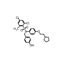 Cc1cc(Cl)cc(Cl)c1S(=O)(=O)N(Cc1ccc(O)cc1)c1ccc(OCCN2CCCC2)cc1